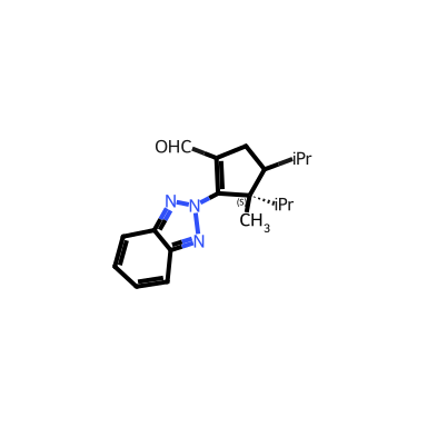 CC(C)C1CC(C=O)=C(n2nc3ccccc3n2)[C@@]1(C)C(C)C